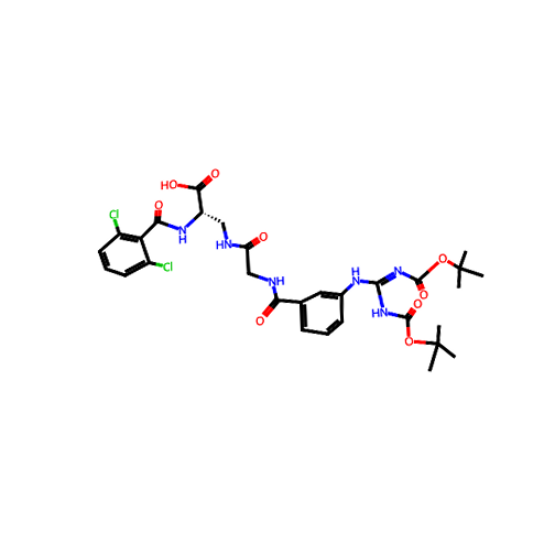 CC(C)(C)OC(=O)/N=C(\NC(=O)OC(C)(C)C)Nc1cccc(C(=O)NCC(=O)NC[C@H](NC(=O)c2c(Cl)cccc2Cl)C(=O)O)c1